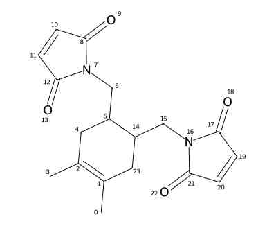 CC1=C(C)CC(CN2C(=O)C=CC2=O)C(CN2C(=O)C=CC2=O)C1